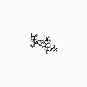 CC(C)(C)NC(=O)N[C@H](C(=O)N1C[C@H]2C([C@H]1C(=O)N[C@@H](CC1(O)CCNC1=O)C(=O)C(N)=O)C2(C)C)C(C)(C)C